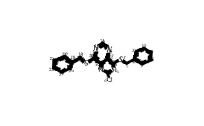 Clc1nc(SCc2ccccc2)c2ncnc(SCc3ccccc3)c2n1